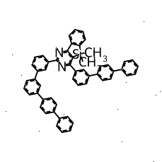 C[Si]1(C)c2ccccc2-c2nc(-c3cccc(-c4cccc(-c5ccc(-c6ccccc6)cc5)c4)c3)nc(-c3cccc(-c4ccc(-c5ccccc5)cc4)c3)c21